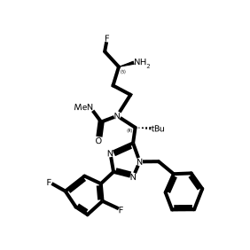 CNC(=O)N(CC[C@H](N)CF)[C@@H](c1nc(-c2cc(F)ccc2F)nn1Cc1ccccc1)C(C)(C)C